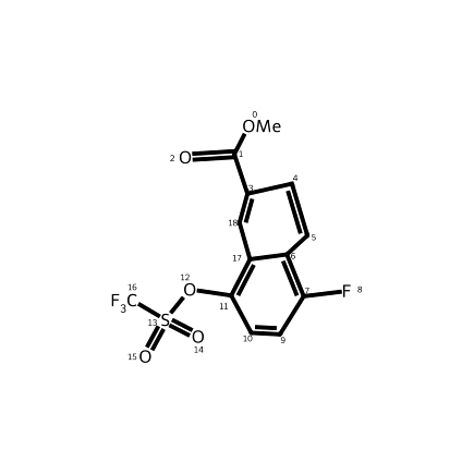 COC(=O)c1ccc2c(F)ccc(OS(=O)(=O)C(F)(F)F)c2c1